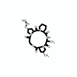 CC1NC(=O)C2CCCCN2C(=O)C2C[C@@H](OPO)CN2C(=O)CCOC(=O)C2C[C@@H](C)CN2C1=O